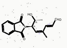 CC(=C/[C@H]([C@@H](C)O)N1C(=O)c2ccccc2C1=O)/C=C/C=O